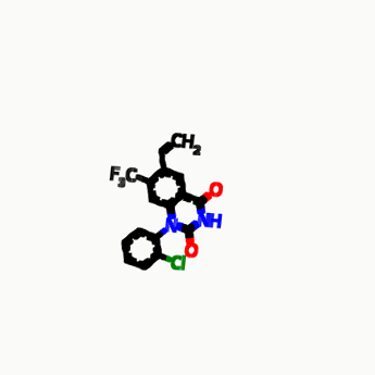 C=Cc1cc2c(=O)[nH]c(=O)n(-c3ccccc3Cl)c2cc1C(F)(F)F